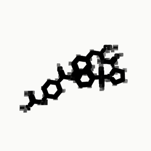 N=C(N)N[C@H]1CC[C@@H](C(=O)Nc2ccc(C[C@H](NC(=O)[C@@H]3CCCN3S(=O)(=O)c3ccccc3)C(=O)O)cc2)CC1